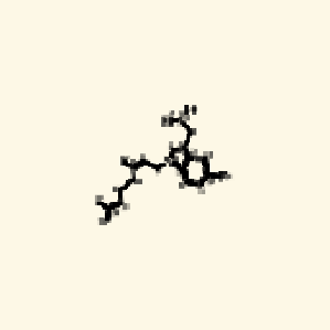 CCN(CC)Cc1cn(CC=C(C)CCC=C(C)C)c2ccc(F)cc12